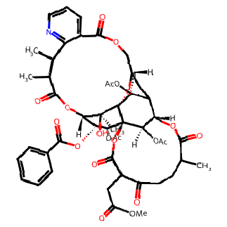 COC(=O)CC1C(=O)CCC(C)C(=O)O[C@H]2C3[C@H]4COC(=O)c5cccnc5C(C)C(C)C(=O)O[C@H]5[C@@H](OC(=O)c6ccccc6)[C@@H](OC(C)=O)[C@@](OC1=O)([C@@H]2OC(C)=O)[C@](O4)([C@H]3OC(C)=O)[C@@]5(C)O